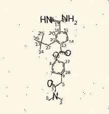 CN(C)C(=O)Cc1ccc(OC(=O)c2ccc(C(=N)N)cc2CC(C)(C)C)cc1